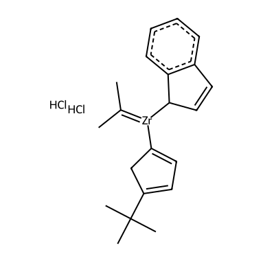 C[C](C)=[Zr]([C]1=CC=C(C(C)(C)C)C1)[CH]1C=Cc2ccccc21.Cl.Cl